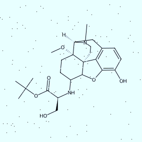 CO[C@@]12CCC(N[C@@H](CO)C(=O)OC(C)(C)C)C3Oc4c(O)ccc5c4[C@@]31CCN(C)[C@@H]2C5